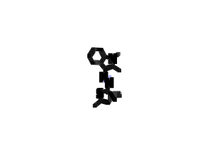 Cc1c[n+](C)c(/N=N/c2c(C)n(C)c3ccccc23)s1